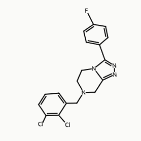 Fc1ccc(-c2nnc3n2CCN(Cc2cccc(Cl)c2Cl)C3)cc1